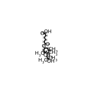 CC(C)(O)CON1C(C)(C)CC(OC(=O)CCCCC(=O)O)CC1(C)C